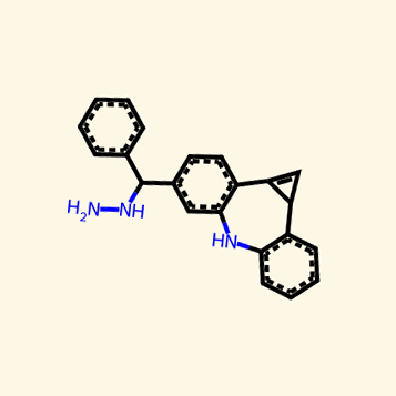 NNC(c1ccccc1)c1ccc2c(c1)Nc1ccccc1C1C=C21